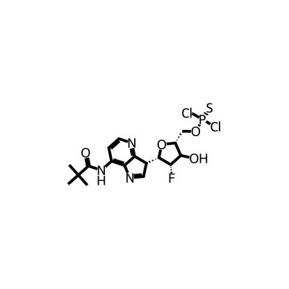 CC(C)(C)C(=O)Nc1ccnc2c1N=CC2[C@@H]1O[C@H](COP(=S)(Cl)Cl)C(O)[C@@H]1F